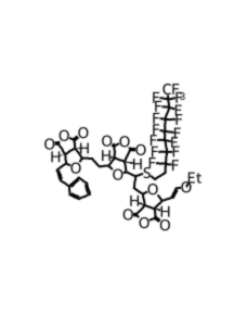 CCO/C=C/C1OC(CC(SCCC(F)(F)C(F)(F)C(F)(F)C(F)(F)C(F)(F)C(F)(F)C(F)(F)C(F)(F)F)C2OC(CCC3OC(/C=C\c4ccccc4)[C@H]4C(=O)OC(=O)[C@@H]34)[C@@H]3C(=O)OC(=O)[C@H]23)[C@H]2C(=O)OC(=O)[C@@H]12